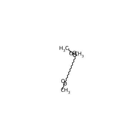 CCCCOC(=O)CCCCCCCCCCCCCCCC(CC)CC(=O)OCCCC